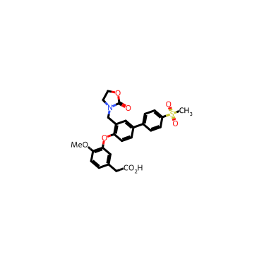 COc1ccc(CC(=O)O)cc1Oc1ccc(-c2ccc(S(C)(=O)=O)cc2)cc1CN1CCOC1=O